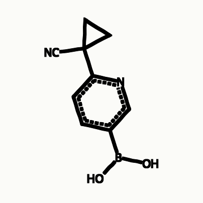 N#CC1(c2ccc(B(O)O)cn2)CC1